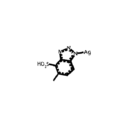 Cc1ccc2c(nn[n]2[Ag])c1S(=O)(=O)O